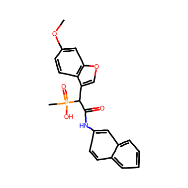 COc1ccc2c(C(C(=O)Nc3ccc4ccccc4c3)P(C)(=O)O)coc2c1